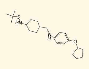 CC(C)(C)SNC1CCC(CNc2ccc(OC3CCCC3)cc2)CC1